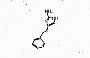 Nc1nc(SCc2ccccc2)c[nH]1